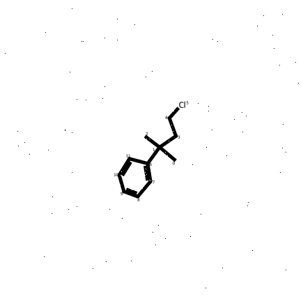 CC(C)(CCCl)c1ccccc1